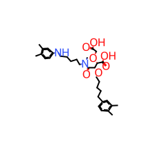 Cc1ccc(CCCCCOC(C(=O)N(C)CCCCCNc2ccc(C)c(C)c2)C(OCC(=O)O)C(=O)O)cc1C